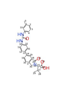 Cc1cccc(NC(=O)Nc2ccc(-c3ccc4c(c3)C(=O)N(C(C(=O)O)C(C)C)C4)cc2)c1